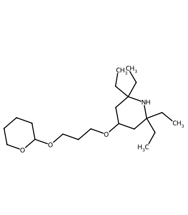 CCC1(CC)CC(OCCCOC2CCCCO2)CC(CC)(CC)N1